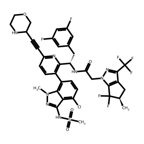 C[C@@H]1Cc2c(C(F)(F)F)nn(CC(=O)N[C@@H](Cc3cc(F)cc(F)c3)c3nc(C#CC4COCCN4)ccc3-c3ccc(Cl)c4c(NS(C)(=O)=O)nn(C)c34)c2C1(F)F